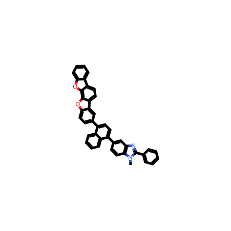 Cn1c(-c2ccccc2)nc2cc(-c3ccc(-c4ccc5oc6c(ccc7c8ccccc8oc76)c5c4)c4ccccc34)ccc21